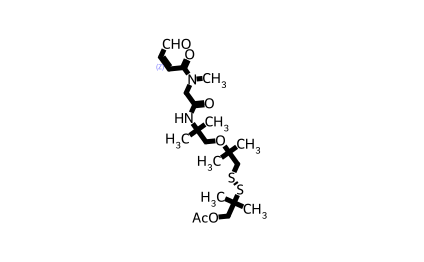 CC(=O)OCC(C)(C)SSCC(C)(C)OCC(C)(C)NC(=O)CN(C)C(=O)/C=C\C=O